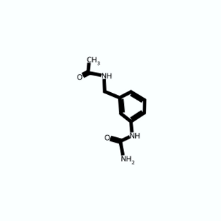 CC(=O)NCc1cccc(NC(N)=O)c1